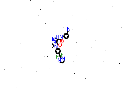 C[C@H]1Cn2ncc(C(=O)Nc3cccc(C#N)c3)c2C(=O)N1c1ccc(C(F)(F)c2ncccn2)cc1